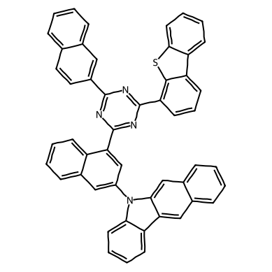 c1ccc2cc(-c3nc(-c4cc(-n5c6ccccc6c6cc7ccccc7cc65)cc5ccccc45)nc(-c4cccc5c4sc4ccccc45)n3)ccc2c1